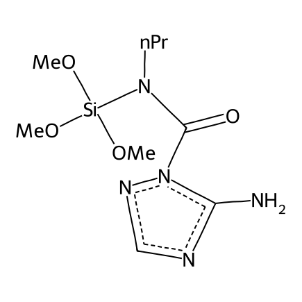 CCCN(C(=O)n1ncnc1N)[Si](OC)(OC)OC